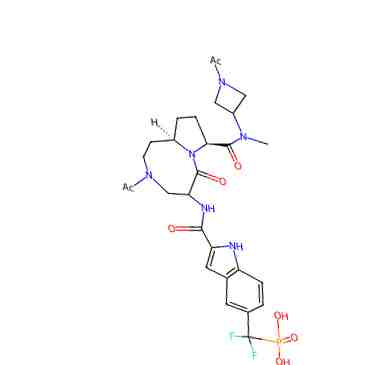 CC(=O)N1CC[C@H]2CC[C@@H](C(=O)N(C)C3CN(C(C)=O)C3)N2C(=O)C(NC(=O)c2cc3cc(C(F)(F)P(=O)(O)O)ccc3[nH]2)C1